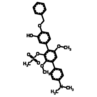 COc1cc(-c2ccc(N(C)C)cc2)c(OC)c(OS(C)(=O)=O)c1-c1ccc(OCc2ccccc2)c(O)c1